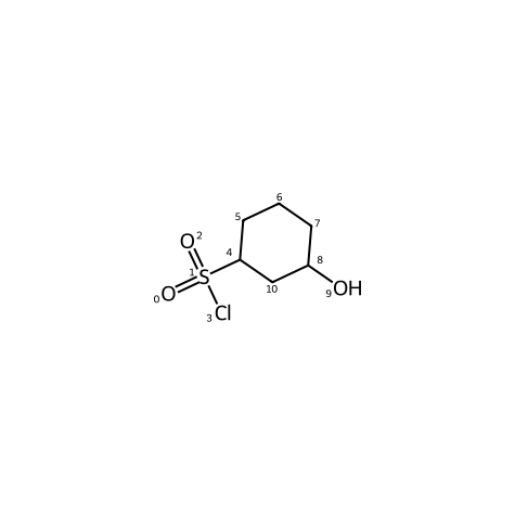 O=S(=O)(Cl)C1CCCC(O)C1